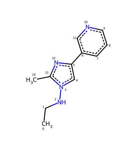 CCNn1cc(-c2cccnc2)nc1C